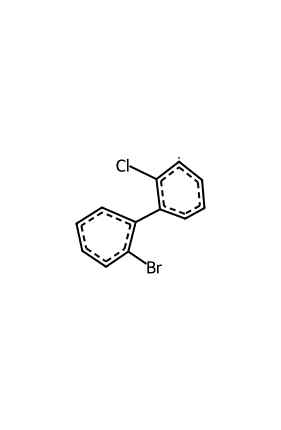 Clc1[c]cccc1-c1ccccc1Br